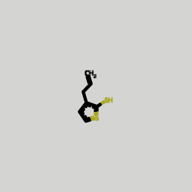 C=CCc1ccsc1S